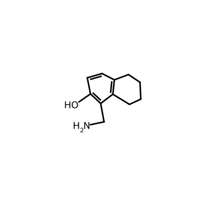 NCc1c(O)ccc2c1CCCC2